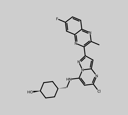 Cc1nc2ccc(F)cc2nc1-c1cc2nc(Cl)cc(NC[C@H]3CC[C@H](O)CC3)n2n1